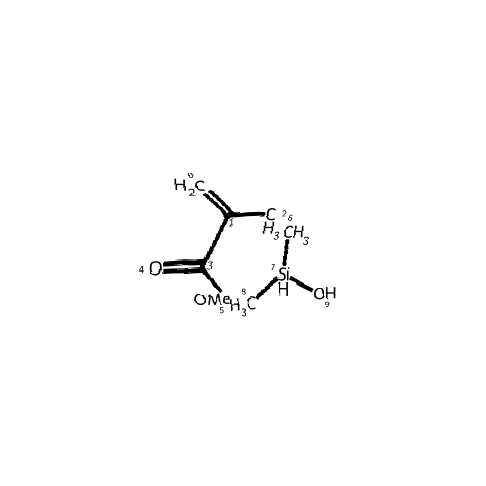 C=C(C)C(=O)OC.C[SiH](C)O